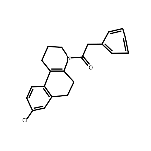 O=C(Cc1ccccc1)N1CCCC2=C1CCc1cc(Cl)ccc12